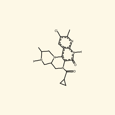 Cc1nc2c(cc1Cl)c1c(c(=O)n2I)N(C(=O)C2CC2)CC2CN(I)C(C)CN12